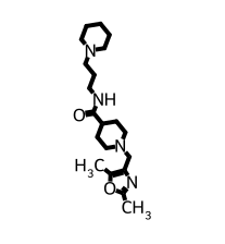 Cc1nc(CN2CCC(C(=O)NCCCN3CCCCC3)CC2)c(C)o1